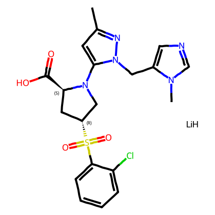 Cc1cc(N2C[C@H](S(=O)(=O)c3ccccc3Cl)C[C@H]2C(=O)O)n(Cc2cncn2C)n1.[LiH]